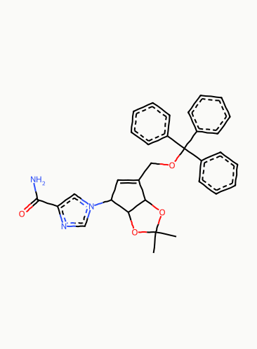 CC1(C)OC2C(COC(c3ccccc3)(c3ccccc3)c3ccccc3)=CC(n3cnc(C(N)=O)c3)C2O1